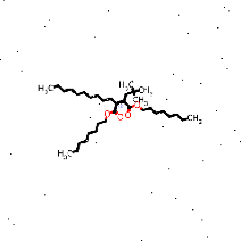 CCCCCCCCCC/C(C(=O)OCCCCCCCC)=C(\CC(C)(C)C)C(=O)OCCCCCCCC